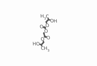 CC(O)COC(=O)COC(=O)OCC(C)O